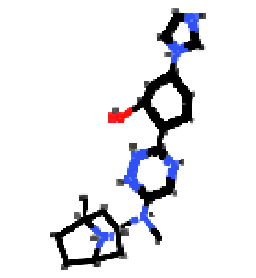 CN(c1cnc(-c2ccc(-n3ccnc3)cc2O)nn1)[C@@H]1CC2CC[C@@](C)(C1)N2